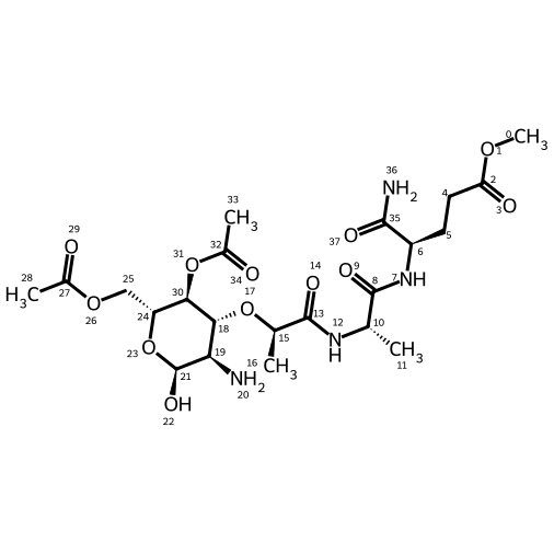 COC(=O)CC[C@@H](NC(=O)[C@H](C)NC(=O)[C@@H](C)O[C@@H]1[C@@H](N)[C@@H](O)O[C@H](COC(C)=O)[C@H]1OC(C)=O)C(N)=O